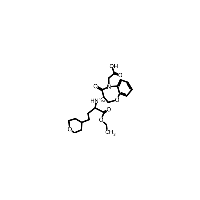 CCOC(=O)C(CCC1CCOCC1)N[C@H]1COc2ccccc2N(CC(=O)O)C1=O